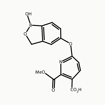 COC(=O)c1nc(Oc2ccc3c(c2)COB3O)ccc1C(=O)O